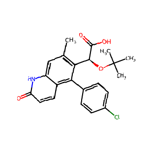 Cc1cc2[nH]c(=O)ccc2c(-c2ccc(Cl)cc2)c1[C@H](OC(C)(C)C)C(=O)O